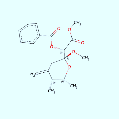 C=C1C[C@](OC)([C@H](OC(=O)c2ccccc2)C(=O)OC)O[C@H](C)[C@@H]1C